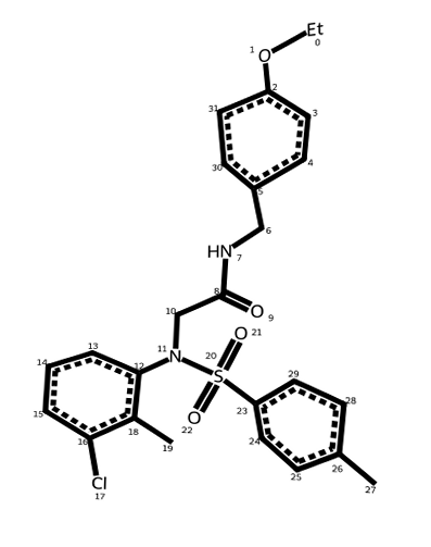 CCOc1ccc(CNC(=O)CN(c2cccc(Cl)c2C)S(=O)(=O)c2ccc(C)cc2)cc1